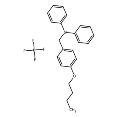 CCCCOc1ccc(C[S+](c2ccccc2)c2ccccc2)cc1.F[B-](F)(F)F